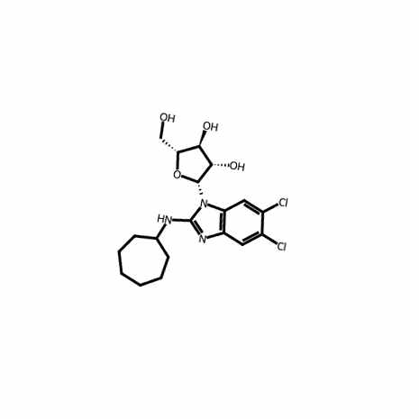 OC[C@H]1O[C@@H](n2c(NC3CCCCCC3)nc3cc(Cl)c(Cl)cc32)[C@@H](O)[C@@H]1O